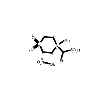 CCCC[N+]1(C(CC)S(=O)(=O)O)CCS(=O)(=O)CC1.O=[N+]([O-])[O-]